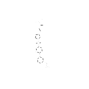 CN(C)Cc1cccc(-c2ccc(S(=O)(=O)n3ccc(/C=C/C(=O)NO)c3)cn2)c1